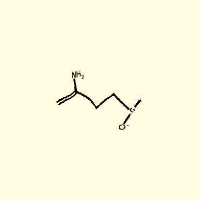 C=C(N)CC[S+](C)[O-]